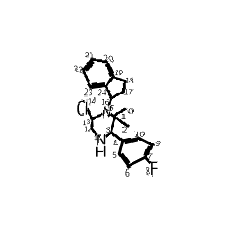 CC1(C)C(c2ccc(F)cc2)NCC(Cl)N1C1CCc2ccccc21